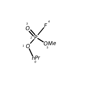 CCCOP(=O)(F)OC